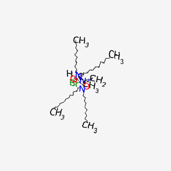 C=CC[N+](C)(C)C(Br)(C(=O)N(CCCCCCCCCCCC)CCCCCCCCCCCC)C(=O)N(CCCCCCCCCCCC)CCCCCCCCCCCC